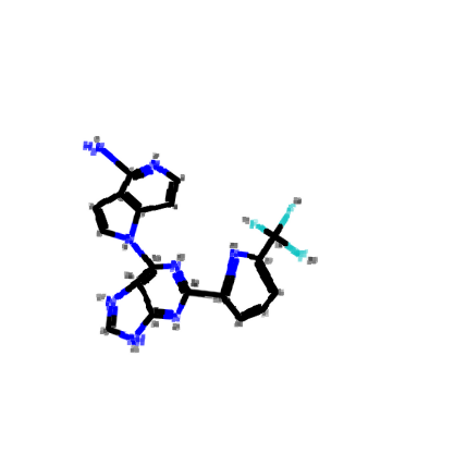 Nc1nccc2c1ccn2-c1nc(-c2cccc(C(F)(F)F)n2)nc2[nH]cnc12